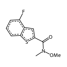 CON(C)C(=O)c1cc2c(F)cccc2s1